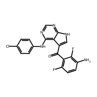 Nc1ccc(F)c(C(=O)c2c[nH]c3ncnc(Nc4ccc(Cl)cc4)c23)c1F